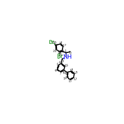 CC(NCc1cccc(-c2ccccc2)c1)c1ccc(Br)cc1Br